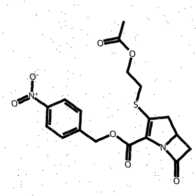 CC(=O)OCCSC1=C(C(=O)OCc2ccc([N+](=O)[O-])cc2)N2C(=O)CC2C1